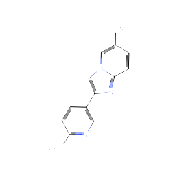 COc1ccc2nc(-c3ccc(OC)nc3)cn2c1